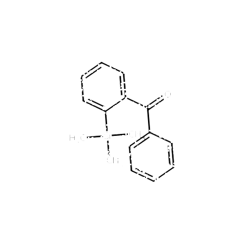 C[Si](C)(C)c1ccccc1C(=O)c1ccccc1